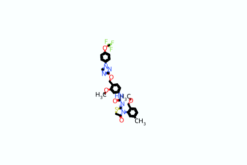 COCc1ccc(C)cc1N1C(=O)CS/C1=N\C(=O)Nc1ccc(COc2ncn(-c3ccc(OC(F)(F)F)cc3)n2)c(OC)c1